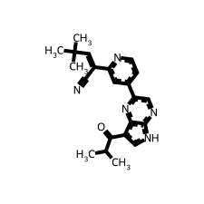 CC(C)C(=O)c1c[nH]c2ncc(-c3ccnc(C(C#N)=CC(C)(C)C)c3)nc12